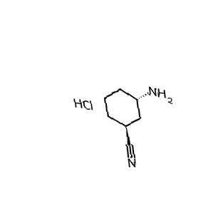 Cl.N#C[C@H]1CCC[C@H](N)C1